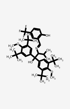 COc1c(C(C)(C)C)cc(C(O)(c2cc(C(C)(C)C)c(OC)c(C(C)(C)C)c2)C(N=Cc2cc(C(F)(F)F)ccc2O)C(C)C)cc1C(C)(C)C